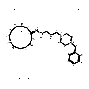 c1ccc(CN2CCN(CCCON=C3CCCCCCCCCCC3)CC2)cc1